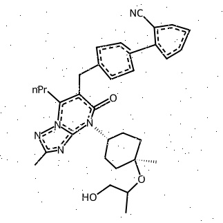 CCCc1c(Cc2ccc(-c3ccccc3C#N)cc2)c(=O)n([C@H]2CC[C@](C)(OC(C)CO)CC2)c2nc(C)nn12